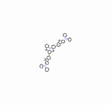 CC1(C)C2=C(CCC(N(C3=CC=CCC3)c3ccccc3)=C2)c2ccc(-c3cc4c5c(c3)C(C)(C)c3cc(-c6ccc7c(c6)C(C)(C)c6cc(N(c8ccccc8)c8ccccc8)ccc6-7)ccc3N5c3ccccc3C4(C)C)cc21